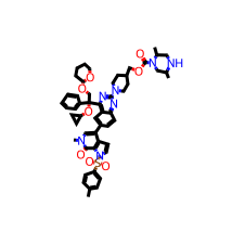 Cc1ccc(S(=O)(=O)n2ccc3c(-c4ccc5nc(N6CCC(COC(=O)N7CC(C)NCC7C)CC6)nc(C(COC6CCCCO6)(OC6CC6)c6ccccc6)c5c4)cn(C)c(=O)c32)cc1